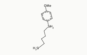 COc1ccc([SiH2]CCCC[SiH3])cc1